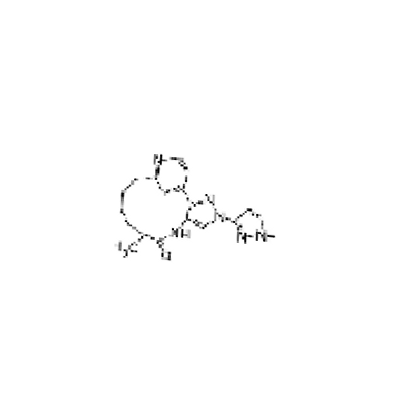 CC1CCCCc2cc(ccn2)-c2nn(-c3cc[nH]n3)cc2NC1=O